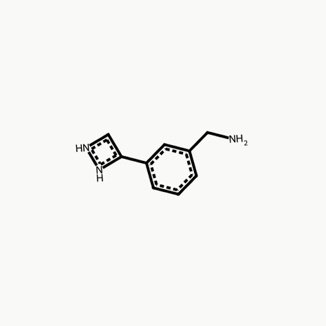 NCc1cccc(-c2c[nH][nH]2)c1